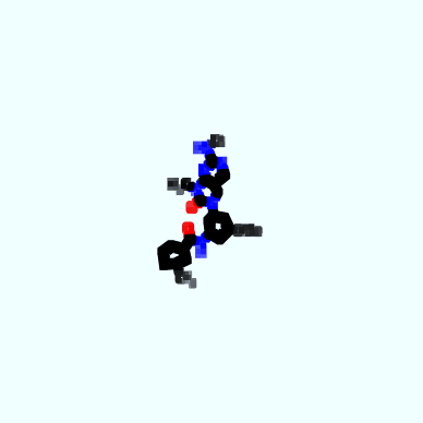 CCNc1ncc2c(n1)N(C)C(=O)N(c1cc(NC(=O)c3cccc(C(F)(F)F)c3)cc(OC)c1)C2